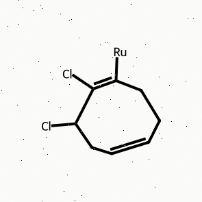 Cl/C1=[C](\[Ru])CC/C=C\CC1Cl